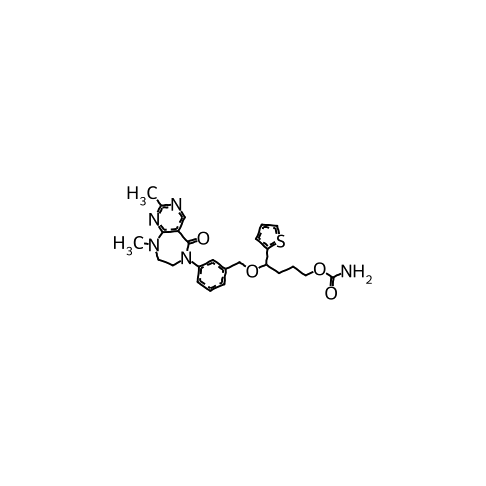 Cc1ncc2c(n1)N(C)CCN(c1cccc(COC(CCCOC(N)=O)c3cccs3)c1)C2=O